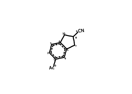 CC(=O)c1ccc2c(c1)CC(C#N)C2